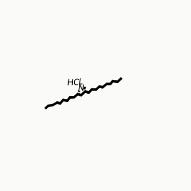 CCCCCCCCCCCCCCCCCCCCCC.CN(C)C.Cl